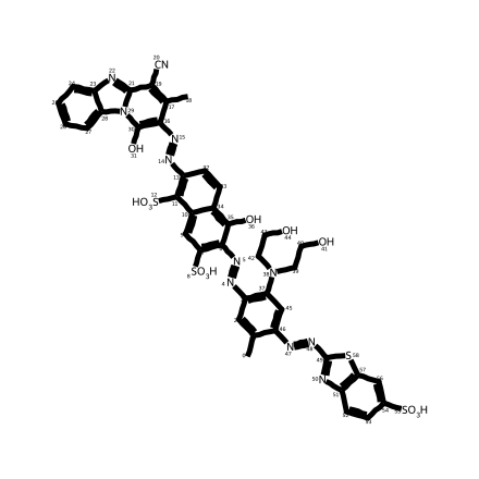 Cc1cc(N=Nc2c(S(=O)(=O)O)cc3c(S(=O)(=O)O)c(N=Nc4c(C)c(C#N)c5nc6ccccc6n5c4O)ccc3c2O)c(N(CCO)CCO)cc1N=Nc1nc2ccc(S(=O)(=O)O)cc2s1